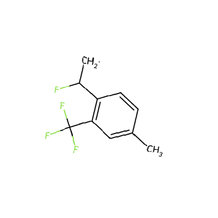 [CH2]C(F)c1ccc(C)cc1C(F)(F)F